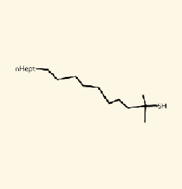 CCCCCCCCCCCCCCCC(C)(C)S